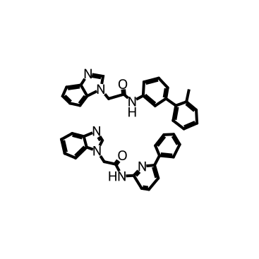 Cc1ccccc1-c1cccc(NC(=O)Cn2cnc3ccccc32)c1.O=C(Cn1cnc2ccccc21)Nc1cccc(-c2ccccc2)n1